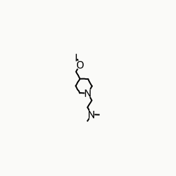 CN(C)CCN1CCC(COI)CC1